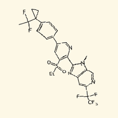 CCS(=O)(=O)c1cc(-c2ccc(C3(C(C)(F)F)CC3)cc2)cnc1-c1nc2cc(C(F)(F)C(F)(F)F)ncc2n1C